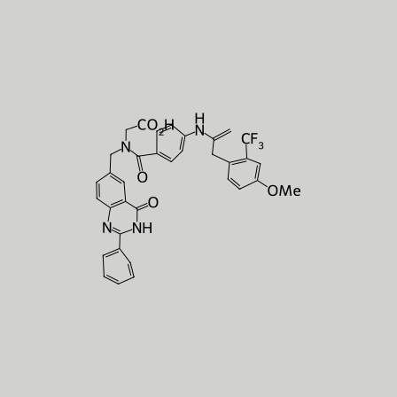 C=C(Cc1ccc(OC)cc1C(F)(F)F)Nc1ccc(C(=O)N(CC(=O)O)Cc2ccc3nc(-c4ccccc4)[nH]c(=O)c3c2)cc1